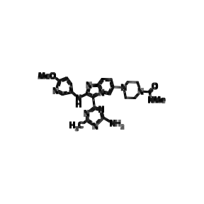 CNC(=O)N1CCN(c2ccc3nc(Nc4ccc(OC)nc4)c(-c4nc(C)nc(N)n4)n3c2)CC1